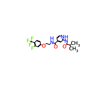 CC(C)C(=O)Nc1cc(C(=O)NCCOc2ccc(C(F)(F)F)c(F)c2)ccn1